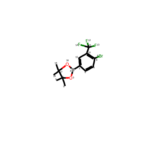 CC1(C)OB(c2ccc(Br)c(C(F)(F)F)c2)OC1(C)C